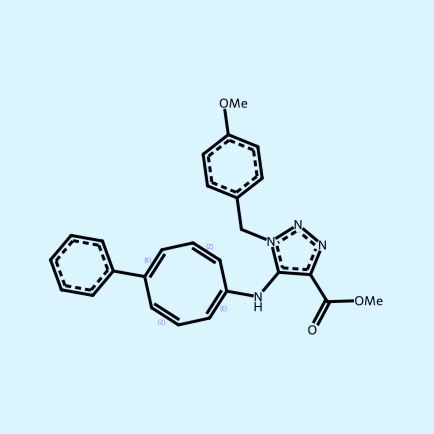 COC(=O)c1nnn(Cc2ccc(OC)cc2)c1NC1=C/C=C\C(c2ccccc2)=C/C=C\1